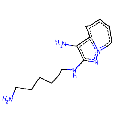 NCCCCCNc1nn2ccccc2c1N